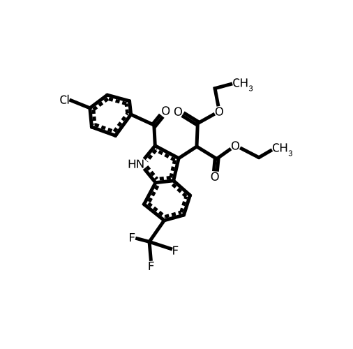 CCOC(=O)C(C(=O)OCC)c1c(C(=O)c2ccc(Cl)cc2)[nH]c2cc(C(F)(F)F)ccc12